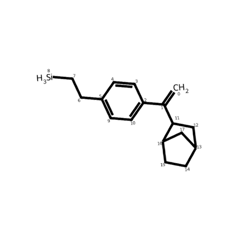 C=C(c1ccc(CC[SiH3])cc1)C1CC2CCC1C2